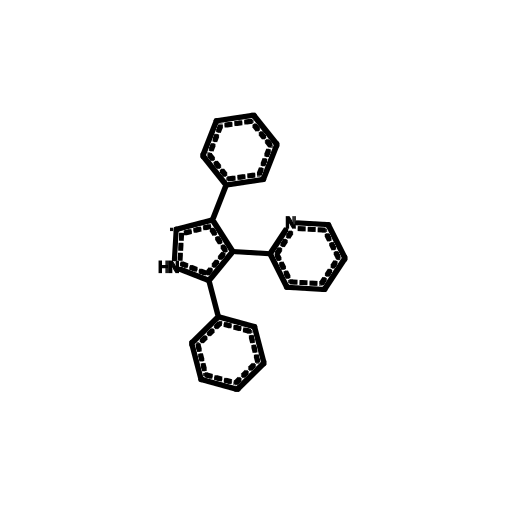 [c]1[nH]c(-c2ccccc2)c(-c2ccccn2)c1-c1ccccc1